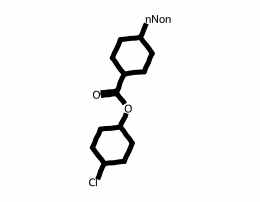 CCCCCCCCCC1CCC(C(=O)OC2CCC(Cl)CC2)CC1